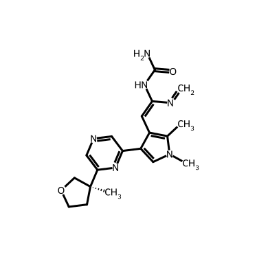 C=N/C(=C\c1c(-c2cncc([C@@]3(C)CCOC3)n2)cn(C)c1C)NC(N)=O